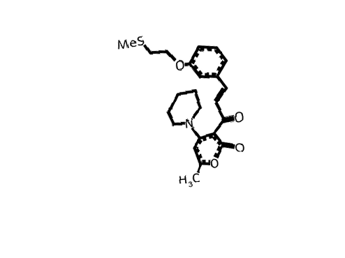 CSCCOc1cccc(/C=C/C(=O)c2c(N3CCCCC3)cc(C)oc2=O)c1